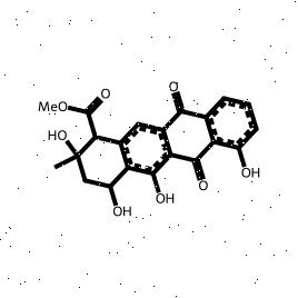 COC(=O)C1c2cc3c(c(O)c2C(O)CC1(C)O)C(=O)c1c(O)cccc1C3=O